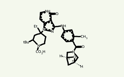 CCC1(n2nc(Nc3ccc(C(=O)N4C[C@H]5C[C@@H](C4)O5)c(C)c3)c3c(=O)[nH]ccc32)CCN(C(=O)O)C(C(C)(C)C)C1